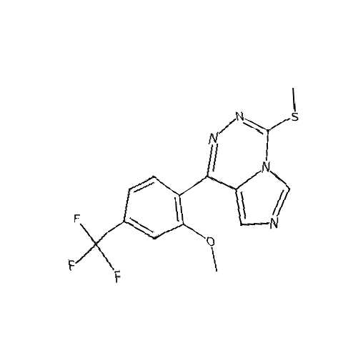 COc1cc(C(F)(F)F)ccc1-c1nnc(SC)n2cncc12